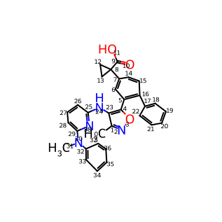 Cc1noc(-c2cc(C3(C(=O)O)CC3)ccc2-c2ccccc2)c1Nc1cccc(N(C)c2ccccc2)n1